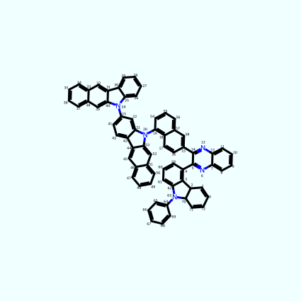 C1=CC2c3c(-c4nc5ccccc5nc4-c4ccc5c(-n6c7cc(-n8c9ccccc9c9cc%10ccccc%10cc98)ccc7c7cc8ccccc8cc76)cccc5c4)cccc3N(c3ccccc3)C2C=C1